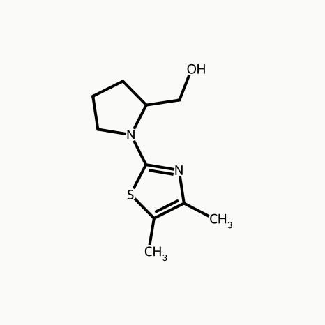 Cc1nc(N2CCCC2CO)sc1C